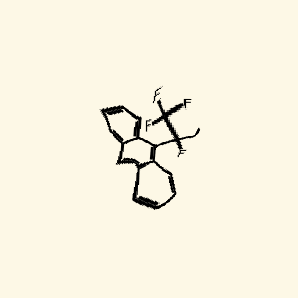 CC(F)(c1c2ccccc2cc2ccccc12)C(F)(F)F